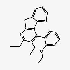 CCOc1ccccc1-c1c(CC)c(CC)nc2c1-c1ccccc1C2